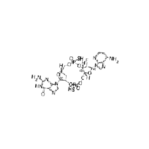 Nc1nc2c(ncn2[C@@H]2O[C@@H]3CO[P@@](=O)(S)O[C@@H]4C(F)[C@H](n5cnc6c(N)ccnc65)O[C@@H]4CO[P@@](=O)(S)OC2C3)c(=O)[nH]1